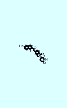 O=C1CCC(N2Cc3cc(NC(=O)c4ccc5cc(O)ccc5c4)ccc3C2=O)C(=O)N1